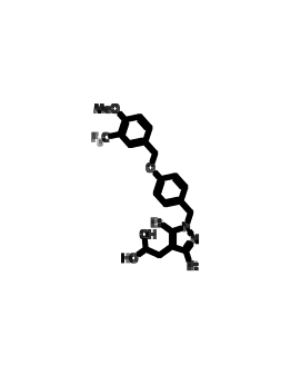 CCc1nn(Cc2ccc(OCc3ccc(OC)c(C(F)(F)F)c3)cc2)c(CC)c1CC(O)O